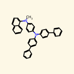 CN(c1ccc(N(c2ccc(-c3ccccc3)cc2)c2ccc(-c3ccccc3)cc2)cc1)c1cccc2ccccc12